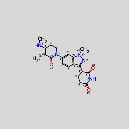 CN[C@H]1CCN(c2ccc3c(C4CCC(=O)NC4=O)nn(C)c3c2)C(=O)[C@@H]1C